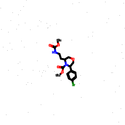 CC(C)(C)OC(=O)NCCC1COCC(c2ccc(Br)cc2)N1C(=O)OC(C)(C)C